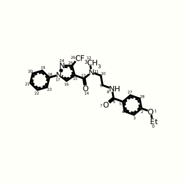 CCOc1ccc(C(=O)NCCN(C)C(=O)c2cn(-c3ccccc3)nc2C(F)(F)F)cc1